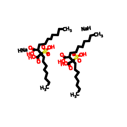 CCCCCCCCC(C(=O)O)C(CCCCCCCC)(C(=O)O)S(=O)(=O)O.CCCCCCCCC(C(=O)O)C(CCCCCCCC)(C(=O)O)S(=O)(=O)O.[NaH].[NaH]